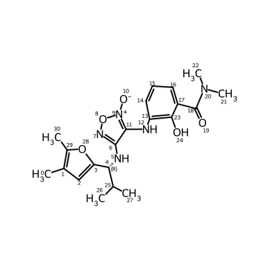 Cc1cc([C@H](Nc2no[n+]([O-])c2Nc2cccc(C(=O)N(C)C)c2O)C(C)C)oc1C